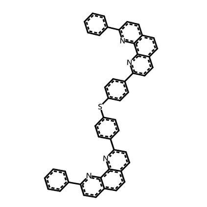 c1ccc(-c2ccc3ccc4ccc(-c5ccc(Sc6ccc(-c7ccc8ccc9ccc(-c%10ccccc%10)nc9c8n7)cc6)cc5)nc4c3n2)cc1